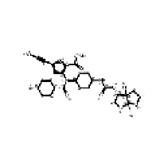 COC(=O)c1sc(C#CC(C)(C)C)cc1N(C(=O)[C@H]1CC[C@H](C)CC1)C1CCC(NC(=O)O[C@H]2CO[C@H]3OCC[C@H]32)CC1